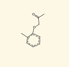 [CH2]C(=O)COc1ccccc1C